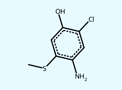 CSc1cc(O)c(Cl)cc1N